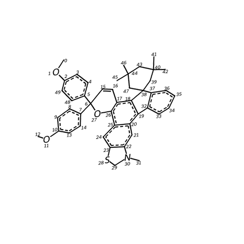 COc1ccc(C2(c3ccc(OC)cc3)C=Cc3c4c(c5cc6c(cc5c3O2)SCN6C)-c2ccccc2C42CC(C)(C)CC(C)(C)C2)cc1